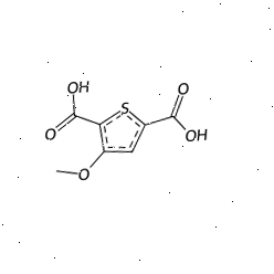 COc1cc(C(=O)O)sc1C(=O)O